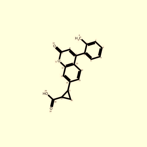 Cc1ccccc1-c1cc(=O)oc2cc(C3CC3C(=O)O)ccc12